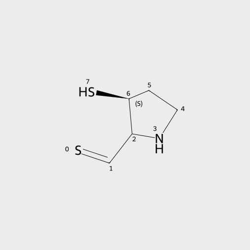 S=CC1NCC[C@@H]1S